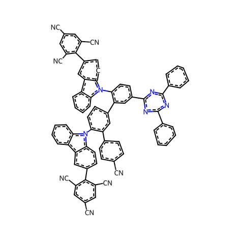 N#Cc1ccc(-c2cc(-c3cc(-c4nc(-c5ccccc5)nc(-c5ccccc5)n4)ccc3-n3c4ccccc4c4cc(-c5c(C#N)cc(C#N)cc5C#N)ccc43)ccc2-n2c3ccccc3c3cc(-c4c(C#N)cc(C#N)cc4C#N)ccc32)cc1